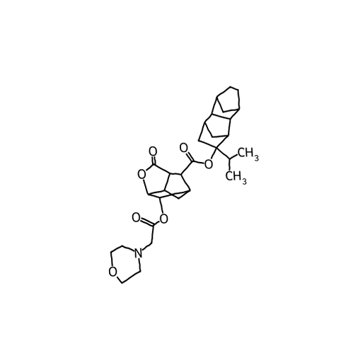 CC(C)C1(OC(=O)C2C3CC4C(OC(=O)C42)C3OC(=O)CN2CCOCC2)CC2CC1C1C3CCC(C3)C21